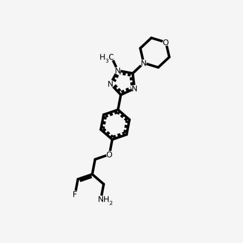 Cn1nc(-c2ccc(OC/C(=C/F)CN)cc2)nc1N1CCOCC1